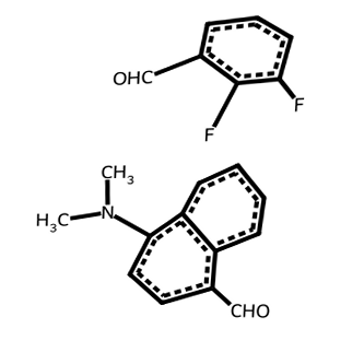 CN(C)c1ccc(C=O)c2ccccc12.O=Cc1cccc(F)c1F